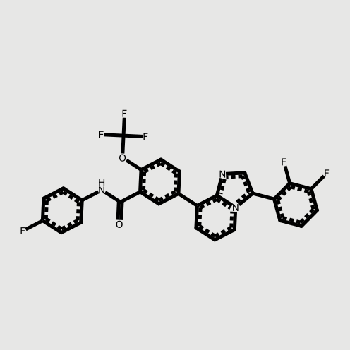 O=C(Nc1ccc(F)cc1)c1cc(-c2cccn3c(-c4cccc(F)c4F)cnc23)ccc1OC(F)(F)F